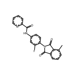 Cc1cccc2c1C(=O)N(c1ccc(NC(=O)c3ccccn3)cc1F)C2=O